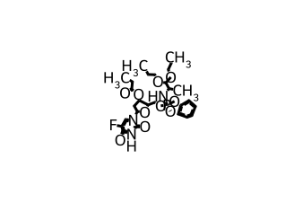 CCCOC(OCCC)C(C)NP(=O)(OCC1OC(n2cc(F)c(=O)[nH]c2=O)CC1OC(=O)CC)Oc1ccccc1